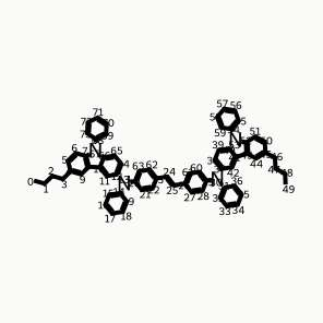 CCCCc1ccc2c(c1)c1cc(N(c3ccccc3)c3ccc(/C=C/c4ccc(N(c5ccccc5)c5ccc6c(c5)c5cc(CCCC)ccc5n6-c5ccccc5)cc4)cc3)ccc1n2-c1ccccc1